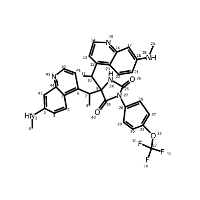 CNc1ccc2c(C(C)C3(C(C)c4ccnc5cc(NC)ccc45)NC(=O)N(c4ccc(OC(F)(F)F)cc4)C3=O)ccnc2c1